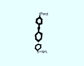 CCCCCCC[C@H]1CC[C@H](C2CCC(C#Cc3ccc(CCCCC)cc3)CC2)CC1